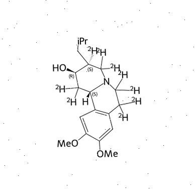 [2H]C1([2H])[C@@H](O)[C@@]([2H])(CC(C)C)C([2H])([2H])N2[C@@H]1c1cc(OC)c(OC)cc1C([2H])([2H])C2([2H])[2H]